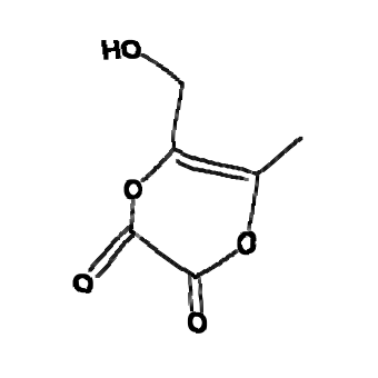 Cc1oc(=O)c(=O)oc1CO